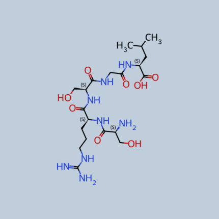 CC(C)C[C@H](NC(=O)CNC(=O)[C@H](CO)NC(=O)[C@H](CCCNC(=N)N)NC(=O)[C@@H](N)CO)C(=O)O